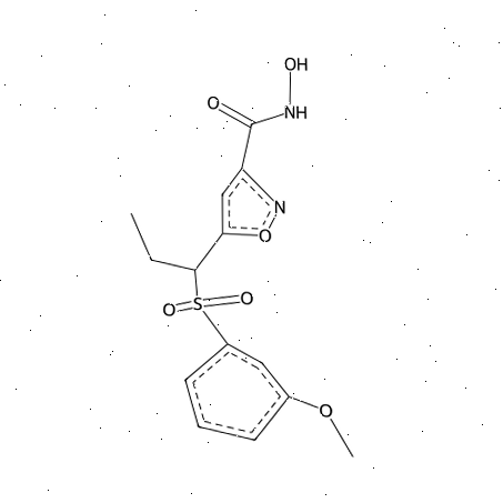 CCC(c1cc(C(=O)NO)no1)S(=O)(=O)c1cccc(OC)c1